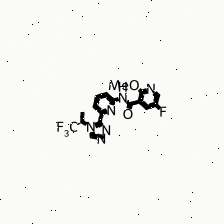 COc1ncc(F)cc1C(=O)Nc1cccc(-c2nncn2[C@@H](C)C(F)(F)F)n1